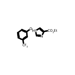 CCOC(=O)C1=C[SH](Oc2cccc(C(F)(F)F)c2)C=N1